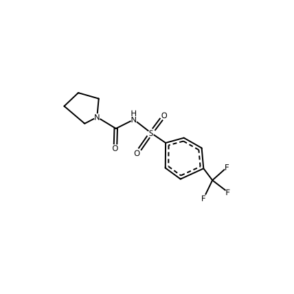 O=C(NS(=O)(=O)c1ccc(C(F)(F)F)cc1)N1CCCC1